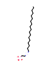 CCCCCCCCCCCCCCCCCC[N+](C)(C)CCP(=O)(O)O